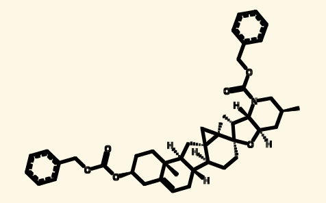 C[C@H]1C[C@H]2O[C@]3(CC[C@H]4[C@@H]5CC=C6C[C@@H](OC(=O)OCc7ccccc7)CC[C@]6(C)[C@H]5C[C@@]45C[C@]53C)[C@H](C)[C@@H]2N(C(=O)OCc2ccccc2)C1